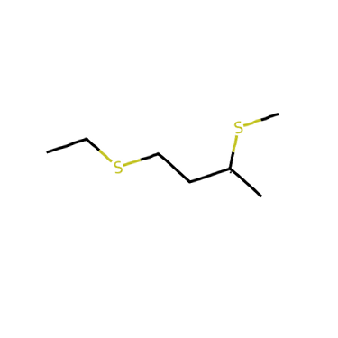 CCSCC[C](C)SC